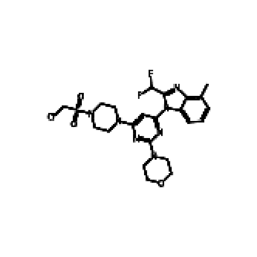 Cc1cccc2c1nc(C(F)F)n2-c1cc(N2CCN(S(=O)(=O)CCl)CC2)nc(N2CCOCC2)n1